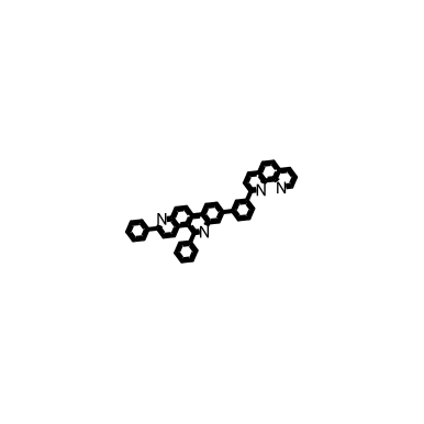 c1ccc(-c2ccc3c(ccc4c5ccc(-c6cccc(-c7ccc8ccc9cccnc9c8n7)c6)cc5nc(-c5ccccc5)c34)n2)cc1